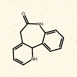 O=C1CC2=CC=CNC2c2ccccc2N1